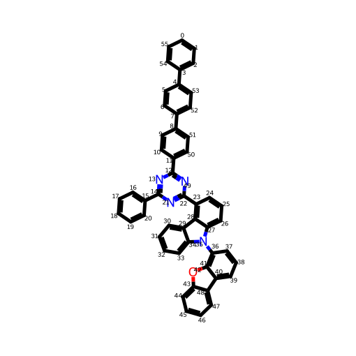 c1ccc(-c2ccc(-c3ccc(-c4nc(-c5ccccc5)nc(-c5cccc6c5c5ccccc5n6-c5cccc6c5oc5ccccc56)n4)cc3)cc2)cc1